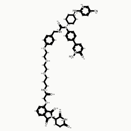 Cn1cc(-c2ccc(N(C(=O)NCc3ccc(OCCOCCOCCCNC(=O)COc4cccc5c4C(=O)N(C4CCC(=O)NC4=O)C5=O)cc3)[C@H]3CC[C@H](Nc4ccc(C#N)cn4)CC3)cc2)ccc1=O